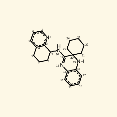 c1cnc2c(c1)CCCC2NC1=Nc2ccccc2NC12CCCCC2